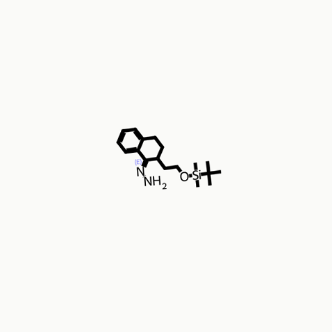 CC(C)(C)[Si](C)(C)OCCC1CCc2ccccc2/C1=N/N